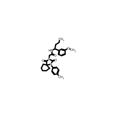 CCCC(NC(=O)CN1C(=O)N(c2ccc(C)cc2)C2(CCCCC2)C1=O)c1cccc(OC)c1